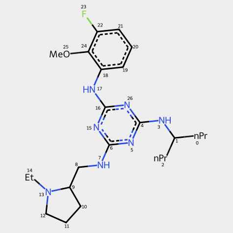 CCCC(CCC)Nc1nc(NCC2CCCN2CC)nc(Nc2cccc(F)c2OC)n1